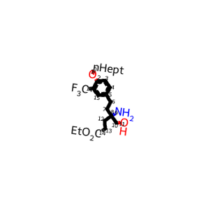 CCCCCCCOc1ccc(CCC(N)(CO)CCC(=O)OCC)cc1C(F)(F)F